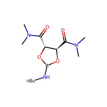 CCCCNB1O[C@H](C(=O)N(C)C)[C@@H](C(=O)N(C)C)O1